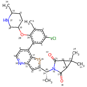 Cc1cc(Cl)cc(-c2ccnc3cc([C@@H](C)N4C(=O)C5C(C4=O)C5(C)C)sc23)c1OC1CCC(C)NC1